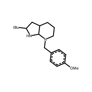 COc1ccc(CN2CCCC3CC(C(C)(C)C)NC32)cc1